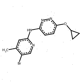 Cc1cc(Nc2ccc(OC3CC3)nn2)ncc1Br